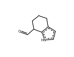 O=CC1CCCc2cc[nH]c21